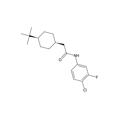 CC(C)(C)[C@H]1CC[C@@H](CC(=O)Nc2ccc(Cl)c(F)c2)CC1